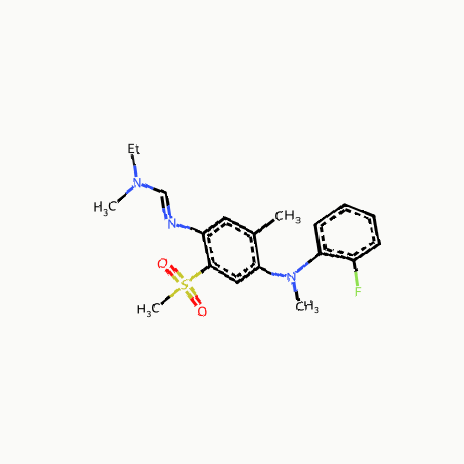 CCN(C)C=Nc1cc(C)c(N(C)c2ccccc2F)cc1S(C)(=O)=O